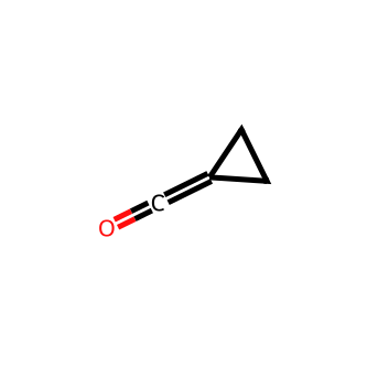 O=C=C1CC1